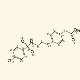 COC(=O)Cc1ccc(SCCNS(=O)(=O)c2ccc(Cl)cc2)cc1